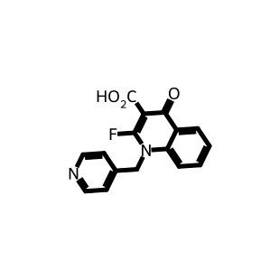 O=C(O)c1c(F)n(Cc2ccncc2)c2ccccc2c1=O